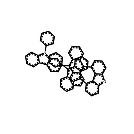 c1ccc(-c2c3ccccc3c(-c3cccc4oc5cccc(-c6c7ccccc7c(-c7ccc8c9ccccc9n(-c9ccccc9)c8c7)c7ccccc67)c5c34)c3ccccc23)cc1